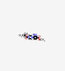 COC(=O)c1ccc(N2CCN(C(=O)OC(C)(C)C)CC2)c(N)c1